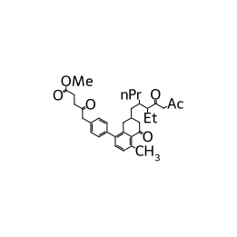 CCCC(CC1CC(=O)c2c(C)ccc(-c3ccc(CC(=O)CCC(=O)OC)cc3)c2C1)C(CC)C(=O)CC(C)=O